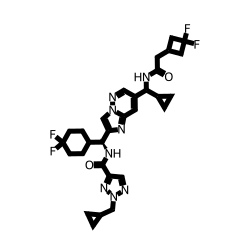 O=C(CC1CC(F)(F)C1)NC(c1cnn2cc([C@@H](NC(=O)c3cnn(CC4CC4)n3)C3CCC(F)(F)CC3)nc2c1)C1CC1